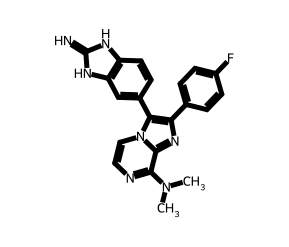 CN(C)c1nccn2c(-c3ccc4[nH]c(=N)[nH]c4c3)c(-c3ccc(F)cc3)nc12